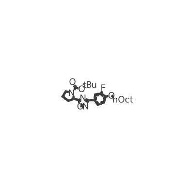 CCCCCCCCOc1ccc(-c2noc(C3CCCN3C(=O)OC(C)(C)C)n2)cc1F